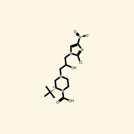 CC(C)(C)[C@@H]1CN(CC(O)Cn2cc([N+](=O)[O-])nc2Cl)CCN1C(=O)O